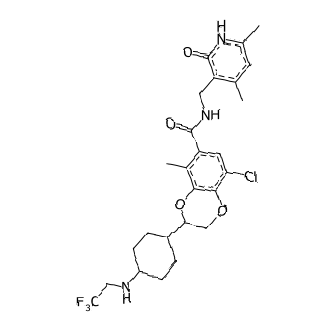 Cc1cc(C)c(CNC(=O)c2cc(Cl)c3c(c2C)OC(C2CCC(NCC(F)(F)F)CC2)CO3)c(=O)[nH]1